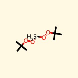 CC(C)(C)OO[SiH2]OOC(C)(C)C